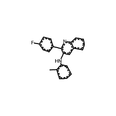 Cc1ccccc1Nc1cc2ccccc2nc1-c1ccc(F)cc1